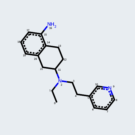 CCN(CCc1cccnc1)C1CCc2c(N)cccc2C1